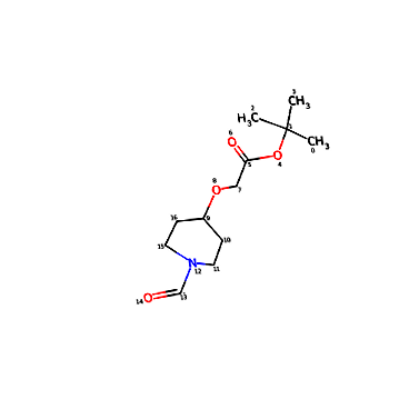 CC(C)(C)OC(=O)COC1CCN([C]=O)CC1